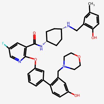 Cc1ccc(O)c(CN[C@H]2CC[C@@H](NC(=O)c3cc(F)cnc3Oc3cccc(-c4ccc(O)cc4CN4CCOCC4)c3)CC2)c1